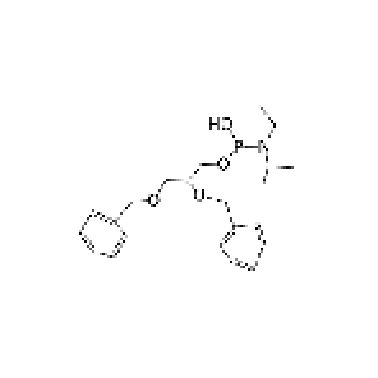 CC(C)N(C(C)C)P(O)OCC(COCc1ccccc1)OCc1ccccc1